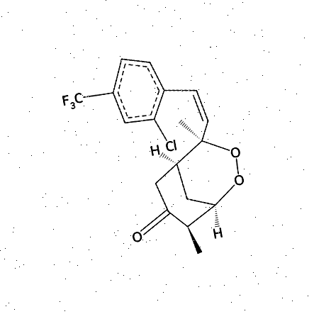 C[C@H]1C(=O)C[C@@H]2C[C@H]1OO[C@]2(C)/C=C\c1ccc(C(F)(F)F)cc1Cl